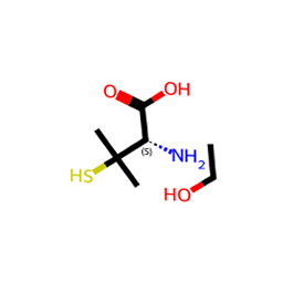 CC(C)(S)[C@@H](N)C(=O)O.CCO